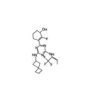 CC=C(Nc1nc(NC2CC3(CCC3)C2)nc(C2=C(F)C(O)CCC2)n1)C(F)(F)F